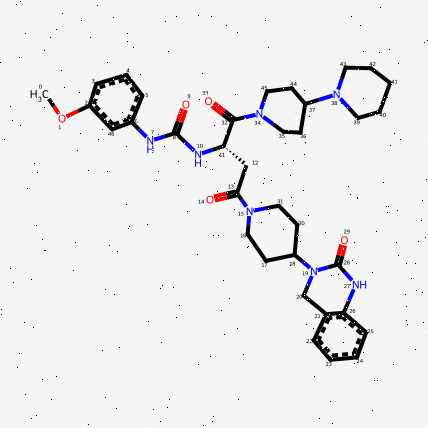 COc1cccc(NC(=O)N[C@@H](CC(=O)N2CCC(N3Cc4ccccc4NC3=O)CC2)C(=O)N2CCC(N3CCCCC3)CC2)c1